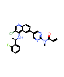 C=CC(=O)N(C)c1ncc(-c2ccc3ncc(Cl)c(N[C@H](C)c4ccccc4F)c3c2)cn1